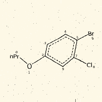 CCCOc1ccc(Br)c(Cl)c1